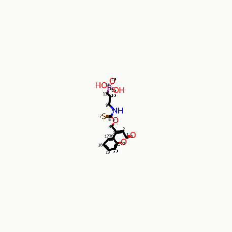 O=c1cc(COC(=S)NCCCP(=O)(O)O)c2ccccc2o1